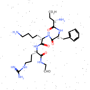 N=C(N)NCCC[C@H](NC(=O)[C@H](CCCCN)NC(=O)[C@@H](Cc1ccccc1)NC(=O)[C@@H](N)CC(=O)O)C(=O)NCC=O